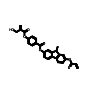 C=CC(=O)Oc1ccc2c(c1)C(C)c1cc(OC(=O)c3ccc(OC(=O)C(=C)CO)cc3)ccc1-2